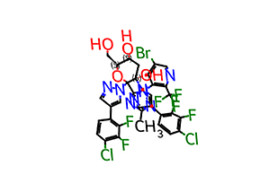 Cc1nc(C2(n3cc(-c4ccc(Cl)c(F)c4F)cn3)O[C@@H](CO)[C@@H](O)C[C@@]2(O)n2cc(-c3ccc(Cl)c(F)c3F)cn2)n(-c2cc(Br)cnc2C(F)(F)F)n1